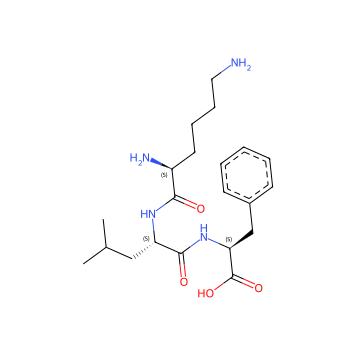 CC(C)C[C@H](NC(=O)[C@@H](N)CCCCN)C(=O)N[C@@H](Cc1ccccc1)C(=O)O